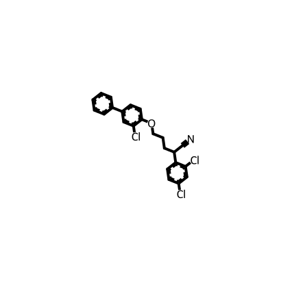 N#CC(CCCOc1ccc(-c2ccccc2)cc1Cl)c1ccc(Cl)cc1Cl